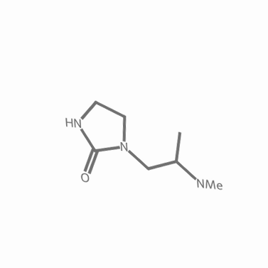 CNC(C)CN1CCNC1=O